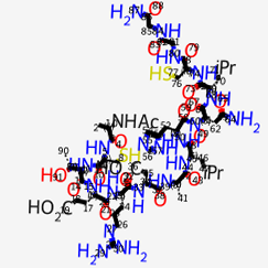 CC(=O)N[C@@H](C)C(=O)N[C@@H](CS)C(=O)N[C@H](C(=O)N[C@@H](CCC(=O)O)C(=O)N[C@@H](CCCN=C(N)N)C(=O)N[C@@H](CC(=O)O)C(=O)N[C@@H](C)C(=O)N[C@@H](CC(C)C)C(=O)N[C@@H](Cc1cnc[nH]1)C(=O)N[C@@H](CC(N)=O)C(=O)N[C@@H](CC(C)C)C(=O)N[C@@H](CS)C(=O)NCC(=O)NCC(N)=O)[C@@H](C)O